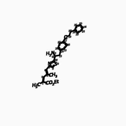 CCOC(=O)/C(C)=C\C(C)=C\c1csc([C@@H](N)Cc2ccc(OCCc3ccccc3)cc2)n1